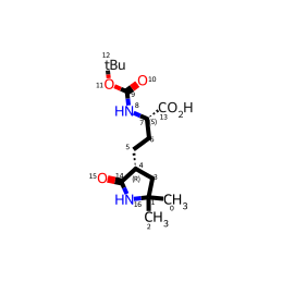 CC1(C)C[C@@H](CC[C@H](NC(=O)OC(C)(C)C)C(=O)O)C(=O)N1